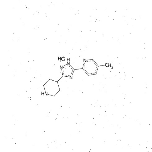 Cc1ccc(-c2nc(C3CCNCC3)n[nH]2)nc1.Cl